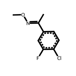 CON=C(C)c1ccc(Cl)c(F)c1